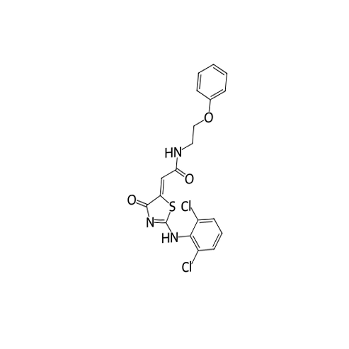 O=C(C=C1SC(Nc2c(Cl)cccc2Cl)=NC1=O)NCCOc1ccccc1